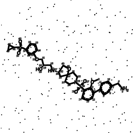 COc1c(-c2ccc(CN)cc2)cccc1S(=O)(=O)N1CCC2(CC1)C[C@H](NC[C@H](O)COc1cccc(S(=O)(=O)C3CC3)c1)CO2